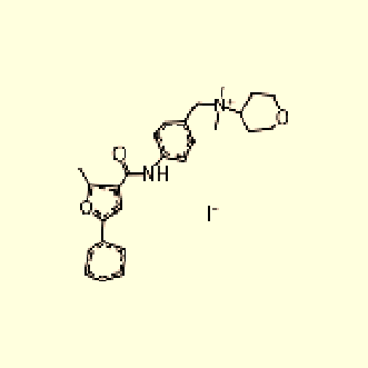 Cc1oc(-c2ccccc2)cc1C(=O)Nc1ccc(C[N+](C)(C)C2CCOCC2)cc1.[I-]